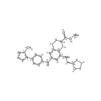 Cc1nccn1-c1ccc(Nc2nc3c(c(NC[C@H]4CCCO4)n2)CN(C(=O)OC(C)(C)C)CC3)cc1